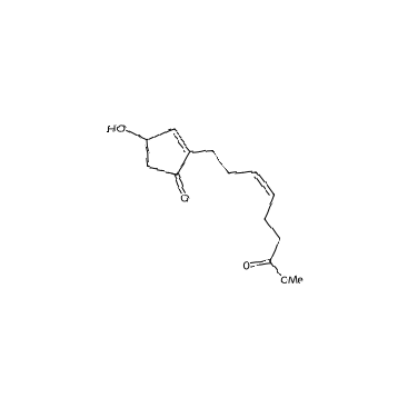 COC(=O)CC/C=C\CCC1=CC(O)CC1=O